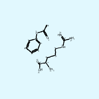 CC(=O)Oc1ccccc1.N=C(N)NCCCC(N)C(=O)O